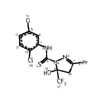 CC(C)C1=NN(C(=S)Nc2cc(Cl)ccc2Cl)C(O)(C(F)(F)F)C1